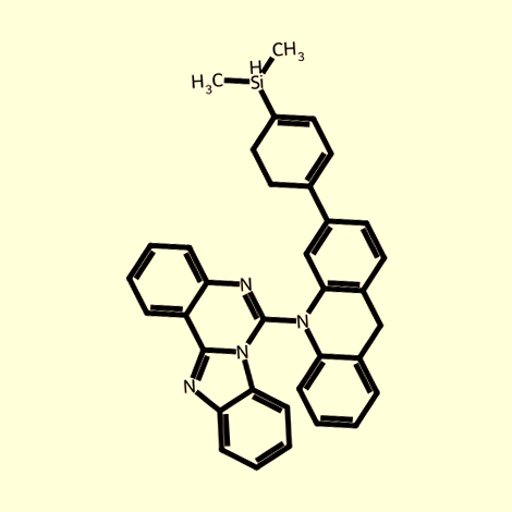 C[SiH](C)C1=CC=C(c2ccc3c(c2)N(c2nc4ccccc4c4nc5ccccc5n24)c2ccccc2C3)CC1